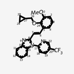 COc1cccc(/C=C/c2nc3ccccc3n2-c2ccc(C(F)(F)F)cn2)c1OCC1CC1